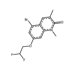 Cc1cc2c(Br)cc(OCC(F)F)cc2n(C)c1=O